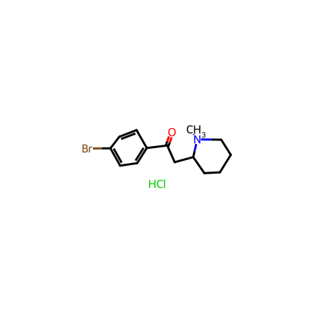 CN1CCCCC1CC(=O)c1ccc(Br)cc1.Cl